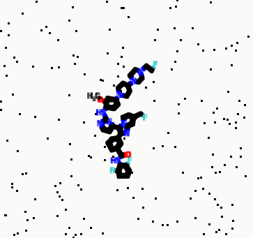 COc1cc(N2CCC(N3CCN(CCF)CC3)CC2)ccc1Nc1nccc(-c2c(-c3cccc(C(=O)Nc4c(F)cccc4F)c3)nc3cc(CF)ccn23)n1